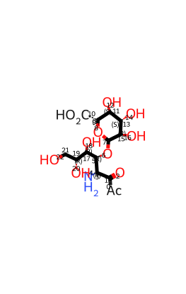 CC(=O)C(=O)[C@H](N)[C@@H](OC1O[C@H](C(=O)O)[C@@H](O)[C@H](O)[C@H]1O)[C@H](O)[C@H](O)CO